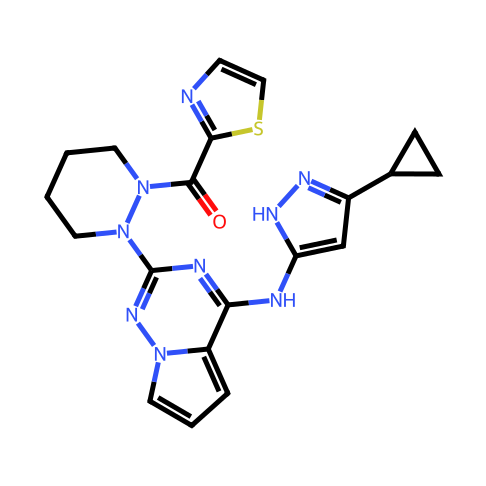 O=C(c1nccs1)N1CCCCN1c1nc(Nc2cc(C3CC3)n[nH]2)c2cccn2n1